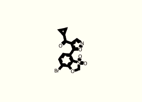 O=C(c1cnoc1-c1ccc(Br)c2c1S(=O)(=O)CO2)C1CC1